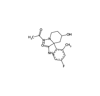 CC(=O)NN1CCC(O)CC1(C(N)=O)c1ccc(F)cc1C